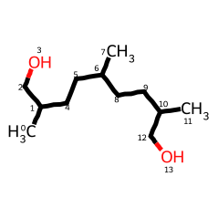 CC(CO)CCC(C)CCC(C)CO